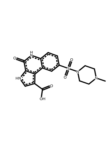 CN1CCN(S(=O)(=O)c2ccc3[nH]c(=O)c4[nH]cc(C(=O)O)c4c3c2)CC1